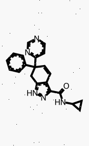 O=C(NC1CC1)c1n[nH]c2c1C=CC(c1ccccc1)(c1ccncn1)C2